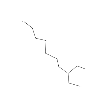 [CH2]CCCCCCC(C[CH2])CC